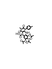 CC(=O)Oc1cc(N(C(=O)O)c2c(N)n(-c3ccc(C)cc3)c(=O)n(C)c2=O)cc(OC(C)=O)c1OC(C)=O